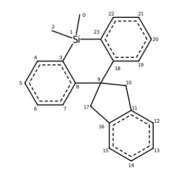 C[Si]1(C)c2ccccc2C2(Cc3ccccc3C2)c2ccccc21